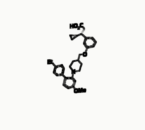 CCc1ccc(-c2ccc(OC)cc2N2CCC(COc3cccc([C@@H](CC(=O)O)C4CC4)c3)CC2)cc1